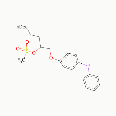 CCCCCCCCCCCCC(COc1ccc([I+]c2ccccc2)cc1)OS(=O)(=O)C(F)(F)F